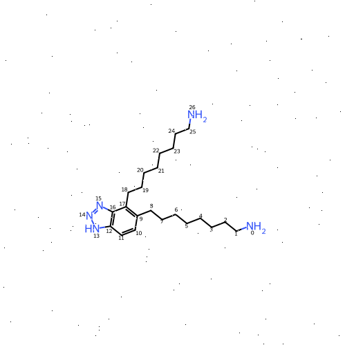 NCCCCCCCCc1ccc2[nH]nnc2c1CCCCCCCCN